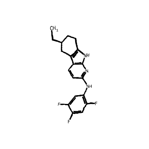 CCC1CCc2[nH]c3nc(Nc4cc(F)c(F)cc4F)ccc3c2C1